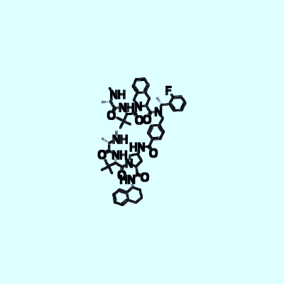 CN[C@@H](C)C(=O)N[C@H](C(=O)N1Cc2ccccc2CC1C(=O)N(Cc1ccc(C(=O)N[C@H]2C[C@@H](C(=O)N[C@@H]3CCCc4ccccc43)N(C(=O)[C@@H](NC(=O)[C@H](C)NC)C(C)(C)C)C2)cc1)[C@H](C)c1ccccc1F)C(C)(C)C